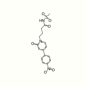 CS(=O)(=O)NC(=O)CCCn1ccc(-c2ccc([N+](=O)[O-])cc2)cc1=O